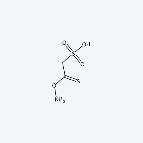 NOC(=S)CS(=O)(=O)O